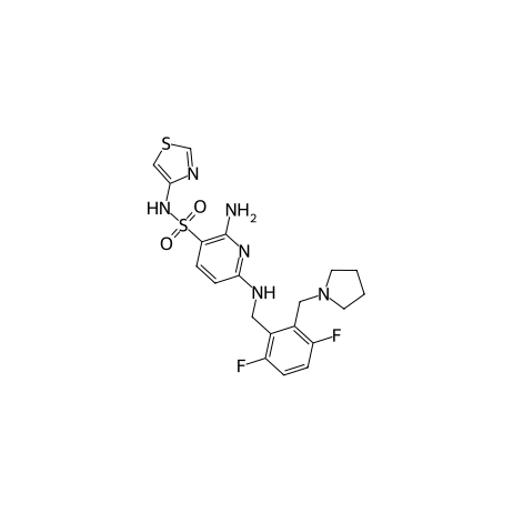 Nc1nc(NCc2c(F)ccc(F)c2CN2CCCC2)ccc1S(=O)(=O)Nc1cscn1